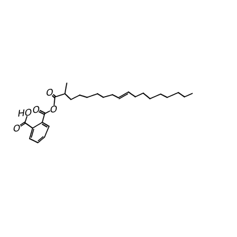 CCCCCCCCC=CCCCCCCC(C)C(=O)OC(=O)c1ccccc1C(=O)O